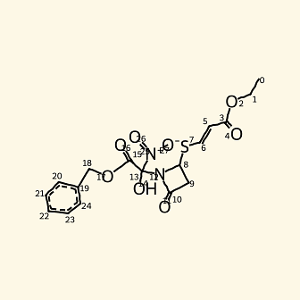 CCOC(=O)C=CSC1CC(=O)N1C(O)(C(=O)OCc1ccccc1)[N+](=O)[O-]